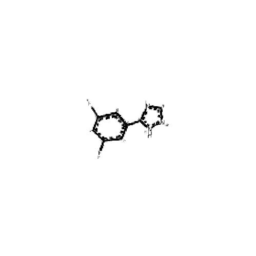 Fc1cc(F)cc(-c2n[c]n[nH]2)c1